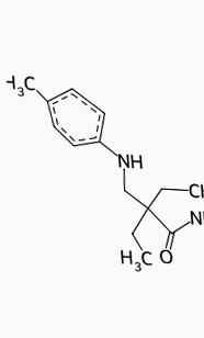 CCC(CC)(CNc1ccc(C)cc1)C(N)=O